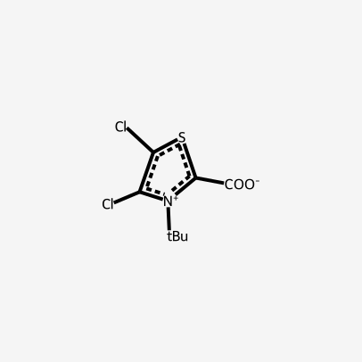 CC(C)(C)[n+]1c(C(=O)[O-])sc(Cl)c1Cl